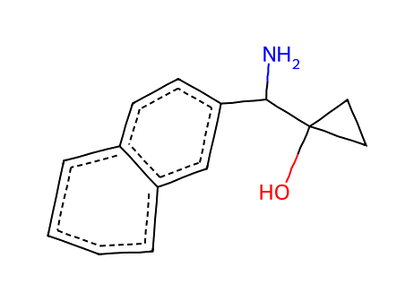 NC(c1ccc2ccccc2c1)C1(O)CC1